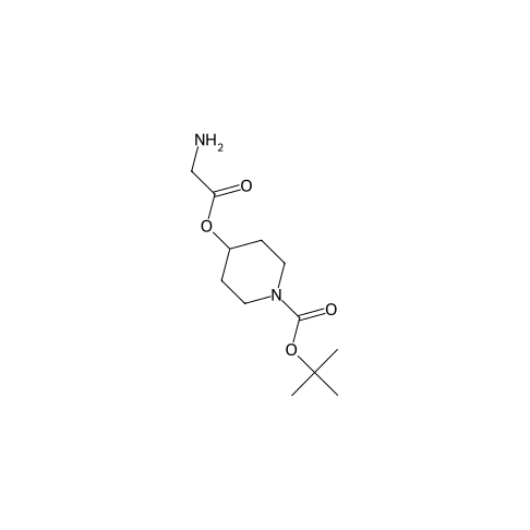 CC(C)(C)OC(=O)N1CCC(OC(=O)CN)CC1